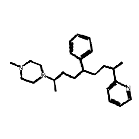 CC(CCC(CCC(C)N1CCN(C)CC1)c1ccccc1)c1ccccn1